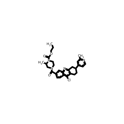 CCCOC(=O)N1CCN(C(=O)c2ccc3c(Cl)c4c(nc3c2)CC(c2ccnc(C)c2)CC4)CC1C